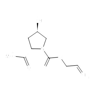 C=CCOC(=O)N1C[C@H](C)C[C@H]1C(=O)OC